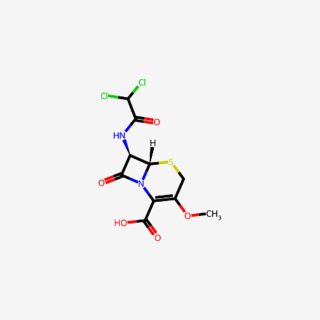 COC1=C(C(=O)O)N2C(=O)[C@@H](NC(=O)C(Cl)Cl)[C@@H]2SC1